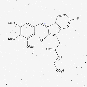 COc1cc(/C=C2\C(C)=C(CC(=O)NCC(=O)O)c3cc(F)ccc32)cc(OC)c1OC